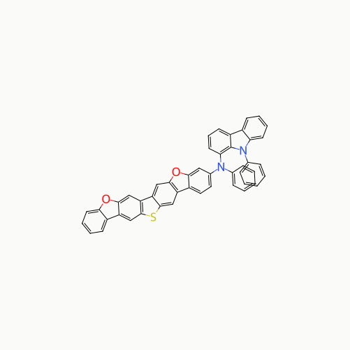 c1ccc(N(c2ccc3c(c2)oc2cc4c(cc23)sc2cc3c(cc24)oc2ccccc23)c2cccc3c4ccccc4n(-c4ccccc4)c23)cc1